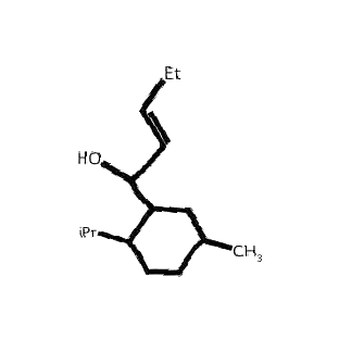 CCC=CC(O)C1CC(C)CCC1C(C)C